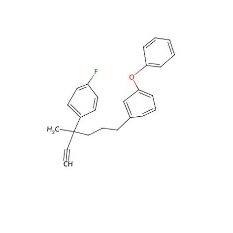 C#CC(C)(CCCc1cccc(Oc2ccccc2)c1)c1ccc(F)cc1